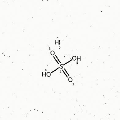 I.O=S(=O)(O)O